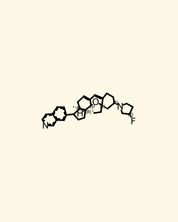 C[C@]12CC=C3C=C4CC[C@@H](N5CC[C@@H](F)C5)C[C@]45CC[C@]3(O5)[C@@H]1CCC2c1ccc2ccncc2c1